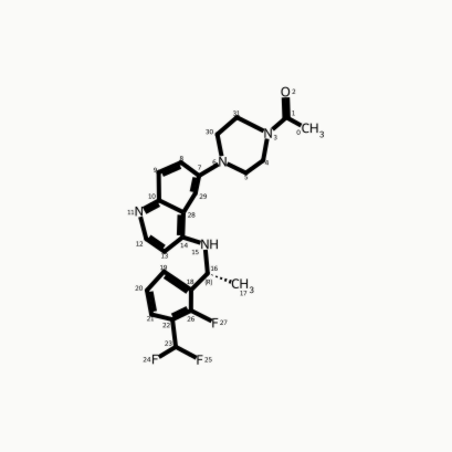 CC(=O)N1CCN(c2ccc3nccc(N[C@H](C)c4cccc(C(F)F)c4F)c3c2)CC1